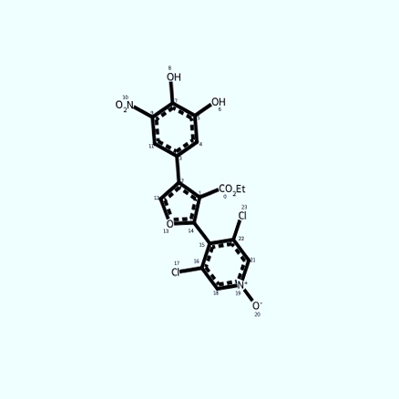 CCOC(=O)c1c(-c2cc(O)c(O)c([N+](=O)[O-])c2)coc1-c1c(Cl)c[n+]([O-])cc1Cl